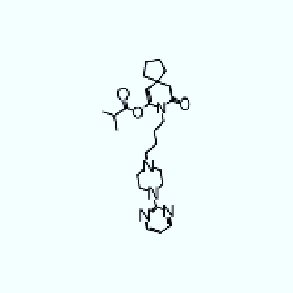 CC(C)C(=O)OC1=CC2(CCCC2)CC(=O)N1CCCCN1CCN(c2ncccn2)CC1